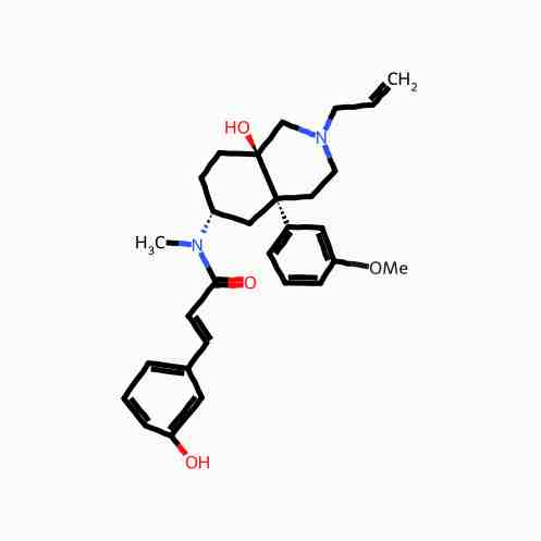 C=CCN1CC[C@@]2(c3cccc(OC)c3)C[C@H](N(C)C(=O)C=Cc3cccc(O)c3)CC[C@]2(O)C1